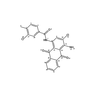 Cc1ccc(C(=O)Nc2cc(Cl)c(N)c3c2C(=O)c2ccccc2C3=O)cc1Cl